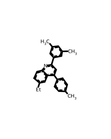 CCc1ccc2nc(-c3cc(C)cc(C)c3)cc(-c3ccc(C)cc3)c2c1